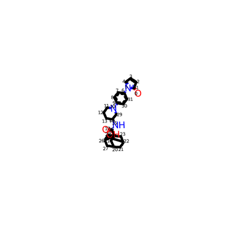 O=C1C=CC=[N+]1c1ccc(N2CCC[C@H](NC(=O)C34CC5CC(C3)C(O)C(C5)C4)C2)cc1